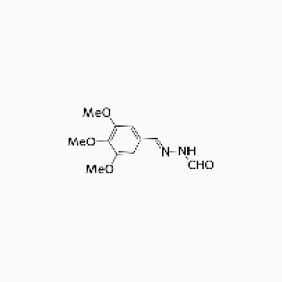 COc1cc(/C=N/NC=O)cc(OC)c1OC